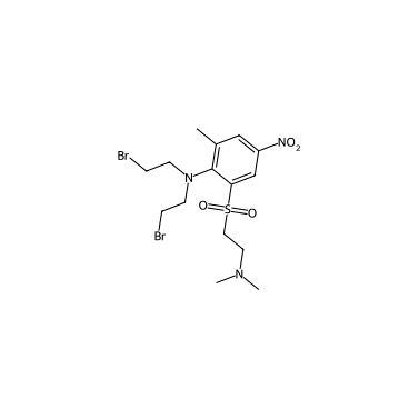 Cc1cc([N+](=O)[O-])cc(S(=O)(=O)CCN(C)C)c1N(CCBr)CCBr